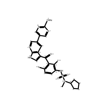 COc1ncc(-c2cnc3[nH]cc(C(=O)c4c(F)ccc(NS(=O)(=O)N(C)C5CCCC5)c4F)c3c2)cn1